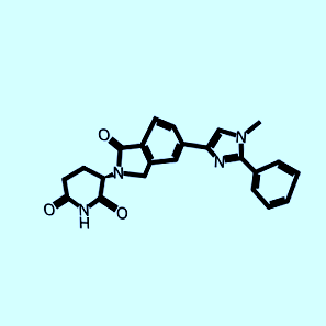 Cn1cc(-c2ccc3c(c2)CN([C@@H]2CCC(=O)NC2=O)C3=O)nc1-c1ccccc1